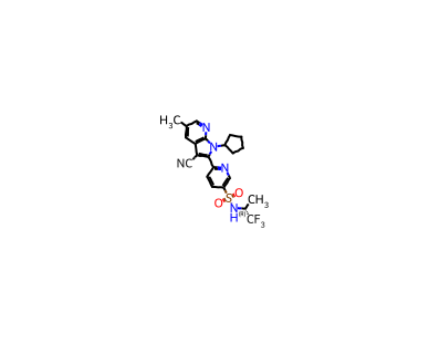 Cc1cnc2c(c1)c(C#N)c(-c1ccc(S(=O)(=O)N[C@H](C)C(F)(F)F)cn1)n2C1CCCC1